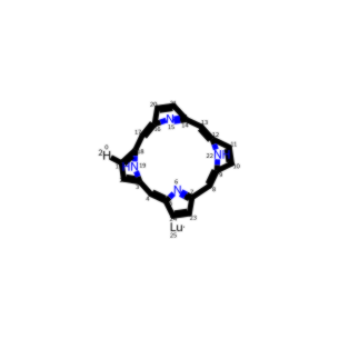 [2H]c1cc2cc3nc(cc4ccc(cc5nc(cc1[nH]2)C=C5)[nH]4)C=C3.[Lu]